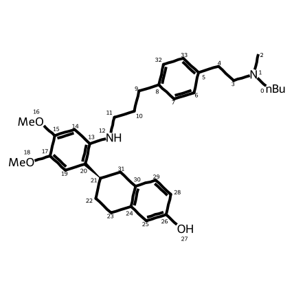 CCCCN(C)CCc1ccc(CCCNc2cc(OC)c(OC)cc2[C@@H]2CCc3cc(O)ccc3C2)cc1